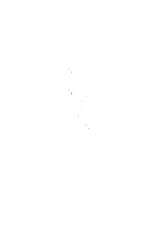 N#Cc1ccc(OC[C@@H]2CCN2)cn1